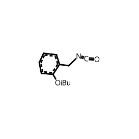 CC(C)COc1ccccc1CN=C=O